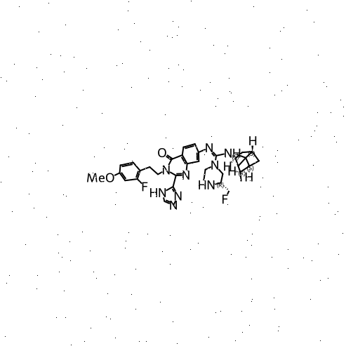 COc1ccc(CCn2c(-c3nnc[nH]3)nc3cc(N=C(N[C@H]4C[C@@H]5C[C@@H]([C@H]4C)C5(C)C)N4CCN[C@@H](CF)C4)ccc3c2=O)c(F)c1